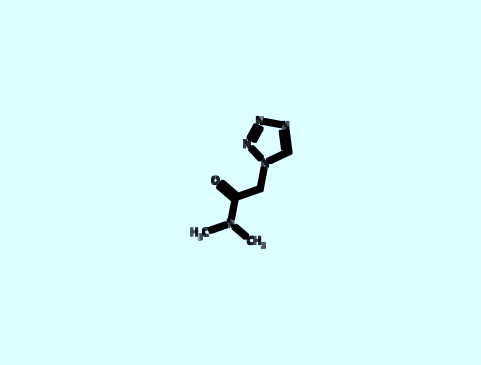 CN(C)C(=O)Cn1cnnn1